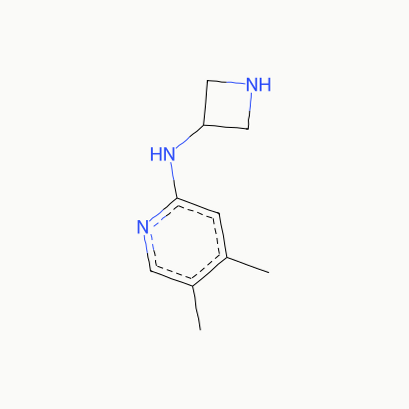 Cc1cnc(NC2CNC2)cc1C